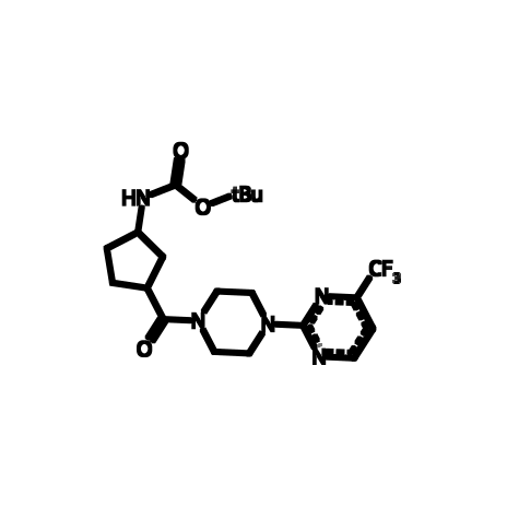 CC(C)(C)OC(=O)NC1CCC(C(=O)N2CCN(c3nccc(C(F)(F)F)n3)CC2)C1